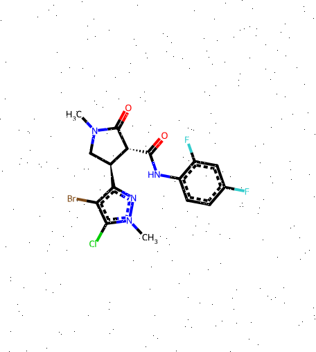 CN1C[C@H](c2nn(C)c(Cl)c2Br)[C@@H](C(=O)Nc2ccc(F)cc2F)C1=O